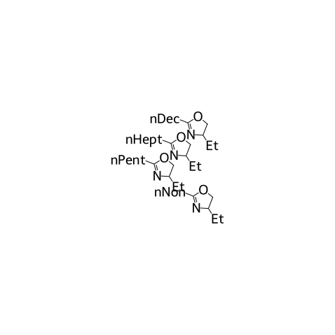 CCCCCC1=NC(CC)CO1.CCCCCCCC1=NC(CC)CO1.CCCCCCCCCC1=NC(CC)CO1.CCCCCCCCCCC1=NC(CC)CO1